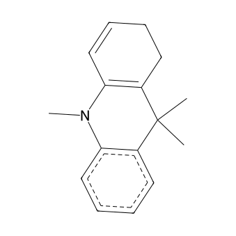 CN1C2=C(CCC=C2)C(C)(C)c2ccccc21